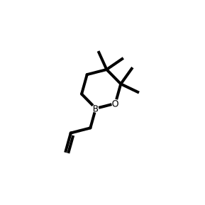 C=CCB1CCC(C)(C)C(C)(C)O1